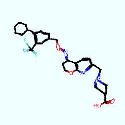 O=C(O)C1CN(Cc2ccc3c(n2)OCCC3=NOCc2ccc(C3CCCCC3)c(C(F)(F)F)c2)C1